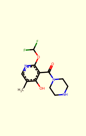 Cc1cnc(OC(F)F)c(C(=O)N2CCNCC2)c1O